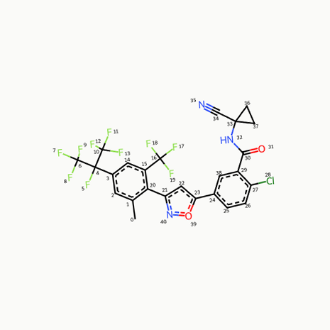 Cc1cc(C(F)(C(F)(F)F)C(F)(F)F)cc(C(F)(F)F)c1-c1cc(-c2ccc(Cl)c(C(=O)NC3(C#N)CC3)c2)on1